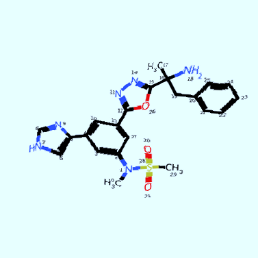 CN(c1cc(-c2c[nH]cn2)cc(-c2nnc(C(C)(N)Cc3ccccc3)o2)c1)S(C)(=O)=O